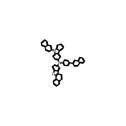 c1ccc2cc(-c3ccc(N(c4ccc5oc6c7ccccc7ccc6c5c4)c4ccc5c(c4)c4ccccc4n5-c4ccc5ccccc5c4)cc3)ccc2c1